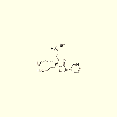 CCCC[P+](CCCC)(CCCC)C1CCN(c2cccnc2)C1=O.[Br-]